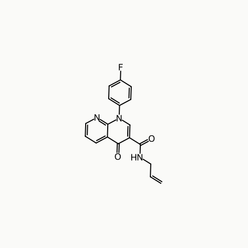 C=CCNC(=O)c1cn(-c2ccc(F)cc2)c2ncccc2c1=O